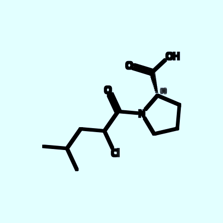 CC(C)CC(Cl)C(=O)N1CCC[C@H]1C(=O)O